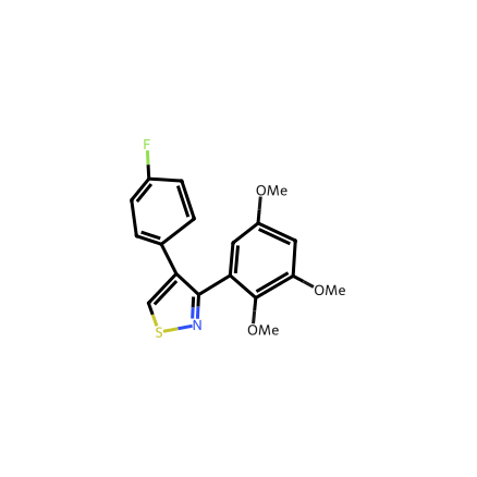 COc1cc(OC)c(OC)c(-c2nscc2-c2ccc(F)cc2)c1